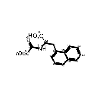 CCCCCCCCCCC(=O)N[C@@H](Cc1cccc2ccccc12)C(=O)O